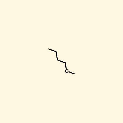 CCCCOC